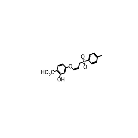 Cc1ccc(S(=O)(=O)C/C=C\Oc2ccc(C(=O)O)c(O)c2)cc1